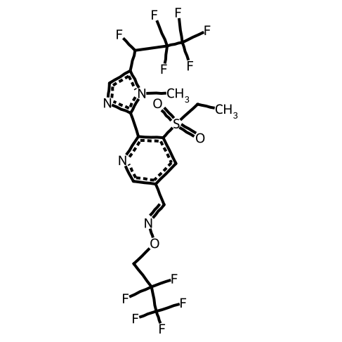 CCS(=O)(=O)c1cc(/C=N/OCC(F)(F)C(F)(F)F)cnc1-c1ncc(C(F)C(F)(F)C(F)(F)F)n1C